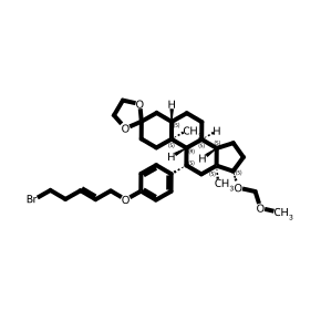 COCO[C@H]1CC[C@H]2[C@@H]3CC[C@H]4CC5(CC[C@]4(C)[C@H]3[C@@H](c3ccc(OCC=CCCBr)cc3)C[C@]12C)OCCO5